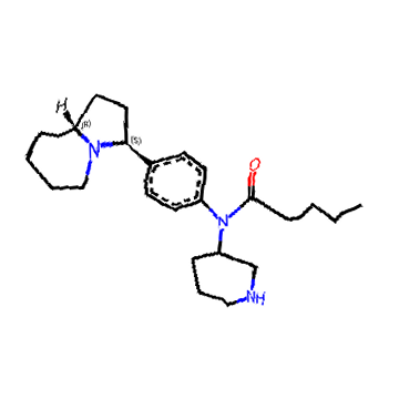 CCCCC(=O)N(c1ccc([C@@H]2CC[C@H]3CCCCN32)cc1)C1CCCNC1